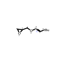 CC(C)(C)/C=N/OCC1CO1